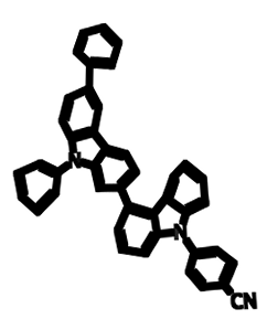 N#Cc1ccc(-n2c3ccccc3c3c(-c4ccc5c6cc(-c7ccccc7)ccc6n(-c6ccccc6)c5c4)cccc32)cc1